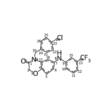 O=C1COc2ccc(Nc3cccc(C(F)(F)F)c3)cc2N1Cc1ccc(Cl)cc1